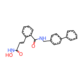 O=C(C=Cc1ccccc1C(=O)NCc1ccc(-c2ccccc2)cc1)NO